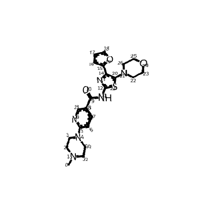 CN1CCN(c2ccc(C(=O)Nc3nc(-c4ccco4)c(N4CCOCC4)s3)cn2)CC1